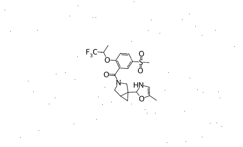 CC1=CNC(C23CC2CN(C(=O)c2cc(S(C)(=O)=O)ccc2OC(C)C(F)(F)F)C3)O1